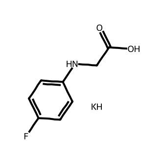 O=C(O)CNc1ccc(F)cc1.[KH]